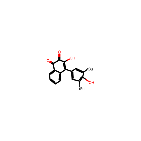 CC(C)(C)c1cc(C2=C(O)C(=O)C(=O)c3ccccc32)cc(C(C)(C)C)c1O